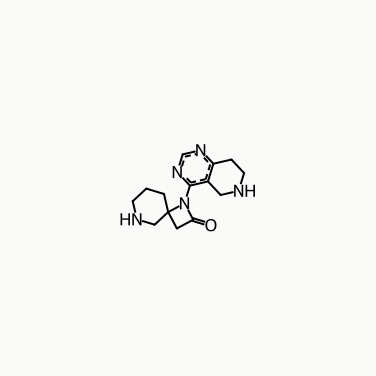 O=C1CC2(CCCNC2)N1c1ncnc2c1CNCC2